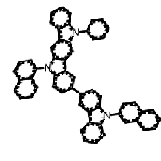 c1ccc(-n2c3ccccc3c3cc4c(cc32)c2cc(-c3ccc5c(c3)c3ccccc3n5-c3ccc5ccccc5c3)ccc2n4-c2cccc3ccccc23)cc1